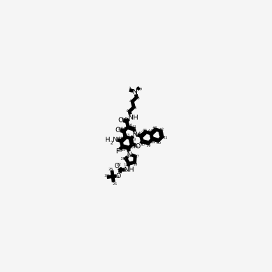 CN(C)CCCCNC(=O)c1cn2c3c(c(N4CCC(NC(=O)OC(C)(C)C)C4)c(F)c(N)c3c1=O)Oc1cc3ccccc3cc1-2